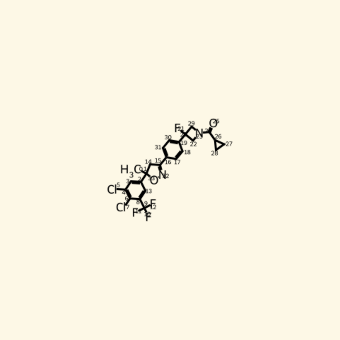 CC1(c2cc(Cl)c(Cl)c(C(F)(F)F)c2)CC(c2ccc(C3(F)CN(C(=O)C4CC4)C3)cc2)=NO1